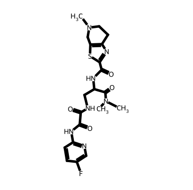 CN1CCc2nc(C(=O)NC(CNC(=O)C(=O)Nc3ccc(F)cn3)C(=O)N(C)C)sc2C1